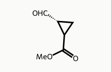 COC(=O)C1C[C@H]1C=O